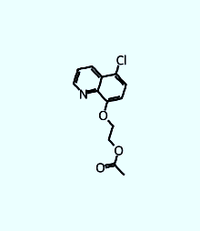 CC(=O)OCCOc1ccc(Cl)c2cccnc12